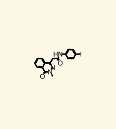 Cn1nc(CC(=O)Nc2ccc(I)cc2)c2ccccc2c1=O